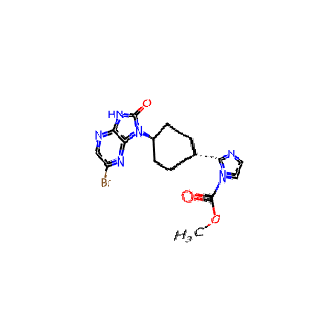 COC(=O)n1ccnc1[C@H]1CC[C@H](n2c(=O)[nH]c3ncc(Br)nc32)CC1